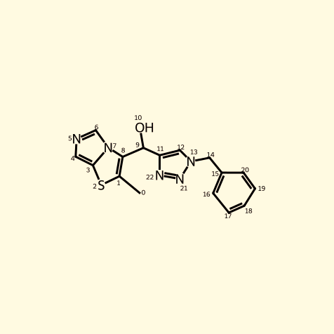 Cc1sc2cncn2c1C(O)c1cn(Cc2ccccc2)nn1